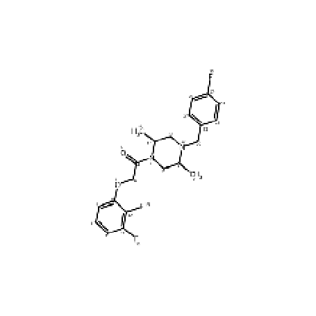 CC1CN(C(=O)COc2cccc(F)c2F)C(C)CN1Cc1ccc(F)cc1